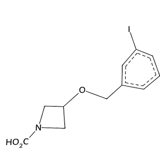 O=C(O)N1CC(OCc2cccc(I)c2)C1